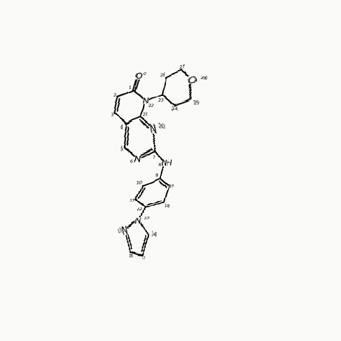 O=c1ccc2cnc(Nc3ccc(-n4cccn4)cc3)nc2n1C1CCOCC1